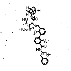 COc1c(CN2O[C@@H](CO)[C@H]([C@H](C)O)[C@H]2C(=O)NC2C[C@H]3C[C@@H]([C@@H]2C)C3(C)C)cccc1-c1cccc(C(=O)N[C@H](Cc2ccccc2)CN(C)C)c1OC